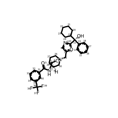 O=C(N[C@@H]1C[N+]2(Cc3cnc([C@](O)(c4ccccc4)C4CCCCC4)o3)CCC1CC2)c1cccc(C(F)(F)F)c1